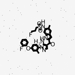 Cc1cc2cc(C(=O)c3cnn(-c4ccc(Oc5ccccc5F)cc4C)c3N)[nH]c2cc1NS(=O)(=O)CCCF